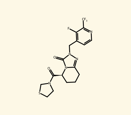 O=C([C@@H]1CCCc2nn(Cc3ccnc(C(F)(F)F)c3F)c(=O)n21)N1CCSC1